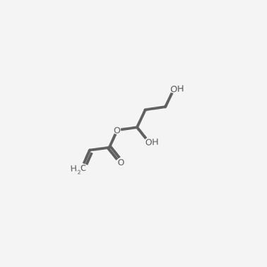 C=CC(=O)OC(O)CCO